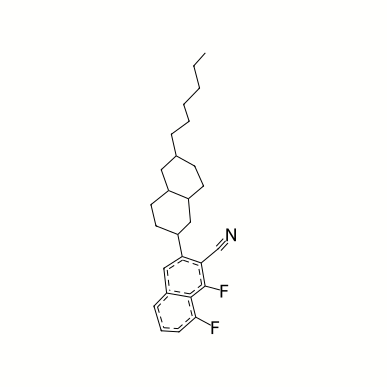 CCCCCCC1CCC2CC(c3cc4cccc(F)c4c(F)c3C#N)CCC2C1